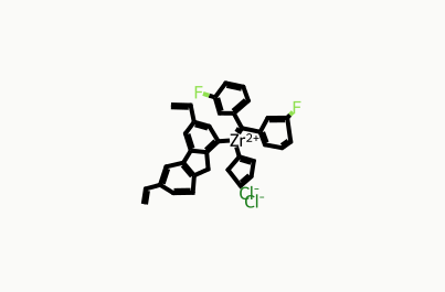 C=Cc1ccc2c(c1)-c1cc(C=C)c[c]([Zr+2]([C]3=CC=CC3)=[C](c3cccc(F)c3)c3cccc(F)c3)c1C2.[Cl-].[Cl-]